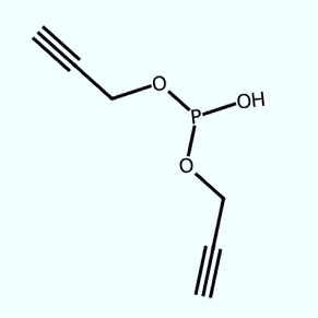 C#CCOP(O)OCC#C